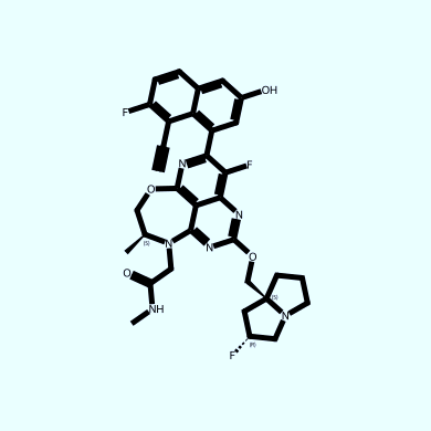 C#Cc1c(F)ccc2cc(O)cc(-c3nc4c5c(nc(OC[C@@]67CCCN6C[C@H](F)C7)nc5c3F)N(CC(=O)NC)[C@@H](C)CO4)c12